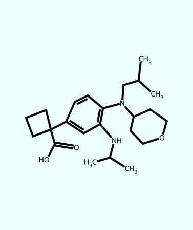 CC(C)CN(c1ccc(C2(C(=O)O)CCC2)cc1NC(C)C)C1CCOCC1